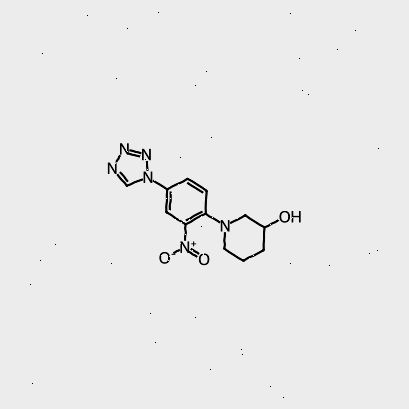 O=[N+]([O-])c1cc(-n2cnnn2)ccc1N1CCCC(O)C1